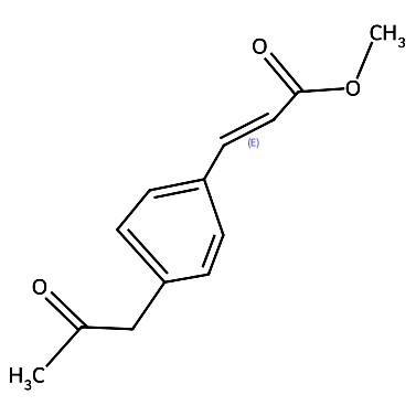 COC(=O)/C=C/c1ccc(CC(C)=O)cc1